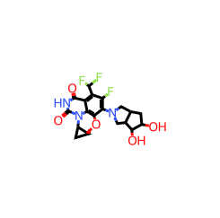 COc1c(N2CC3CC(O)C(O)C3C2)c(F)c(C(F)F)c2c(=O)[nH]c(=O)n(C3CC3)c12